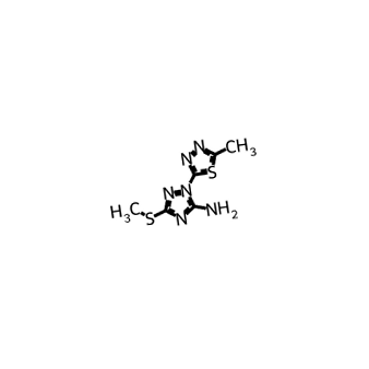 CSc1nc(N)n(-c2nnc(C)s2)n1